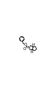 O=C(OCc1ccccc1)N1C[C@H]2CCC[C@H]2C1